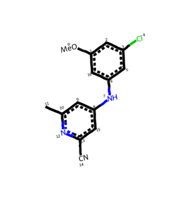 COc1cc(Cl)cc(Nc2cc(C)nc(C#N)c2)c1